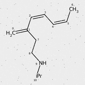 C=C(/C=C\C=C/C)CCNC(C)C